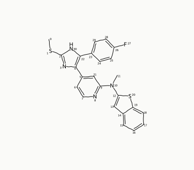 CSc1nc(-c2ccnc(N(C)c3cc4ccccc4s3)c2)c(-c2ccc(F)cc2)[nH]1